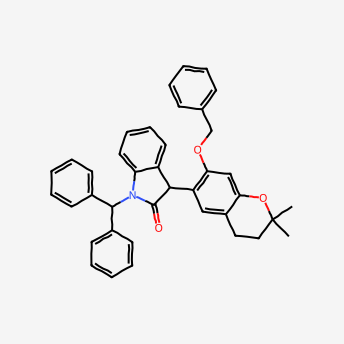 CC1(C)CCc2cc(C3C(=O)N(C(c4ccccc4)c4ccccc4)c4ccccc43)c(OCc3ccccc3)cc2O1